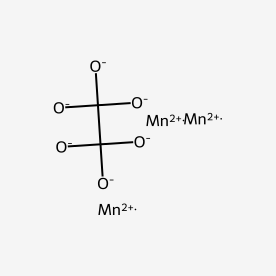 [Mn+2].[Mn+2].[Mn+2].[O-]C([O-])([O-])C([O-])([O-])[O-]